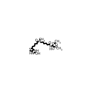 COC(=O)C(NC(=O)CCCCCN(C)C(=O)CCCCC1SCC2NC(O)NC21)OC(C)=O